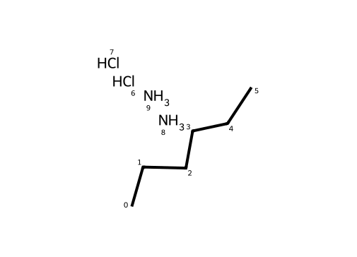 CCCCCC.Cl.Cl.N.N